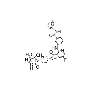 CC(C)(C)N(C(=O)O)[C@H]1CC[C@@H](NC(=O)c2cc(F)cnc2Nc2cccc(C(=O)NC3CN4CCC3CC4)c2)CC1